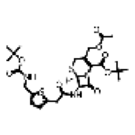 CC(=O)OCC1=C(C(=O)OC(C)(C)C)N2C(=O)[C@@H](NC(=O)Cc3ccc(CNC(=O)OC(C)(C)C)s3)[C@H]2SC1